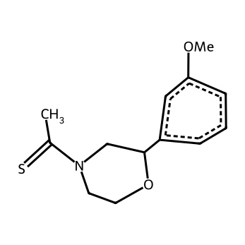 COc1cccc(C2CN(C(C)=S)CCO2)c1